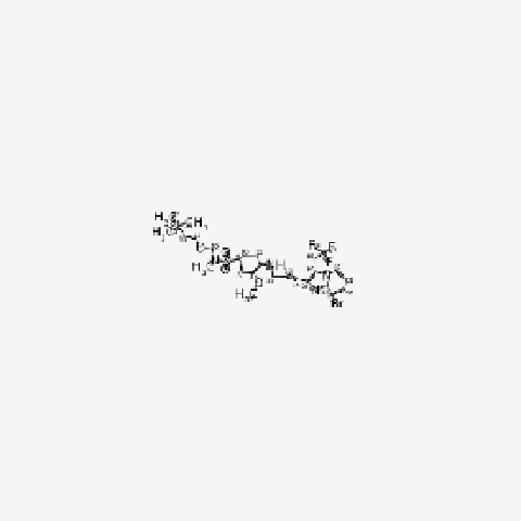 COc1cc(S(=O)(=O)N(C)COCC[Si](C)(C)C)ccc1NCC#Cc1nc2c(Br)cccn2c1CC(F)(F)F